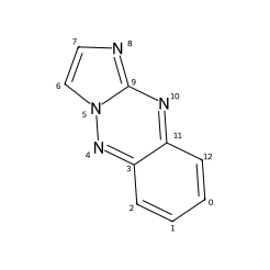 c1ccc2nn3ccnc3nc2c1